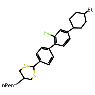 CCCCCC1CSC(c2ccc(-c3ccc(C4CCC(CC)CC4)cc3F)cc2)SC1